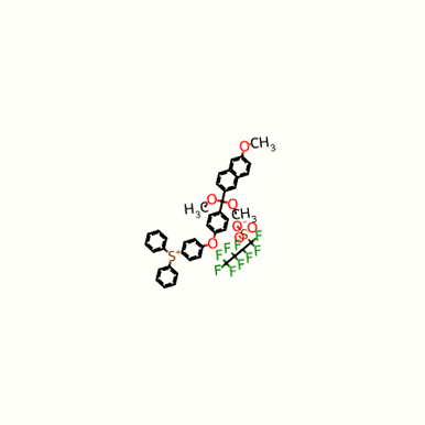 COc1ccc2cc(C(OC)(OC)c3ccc(Oc4ccc([S+](c5ccccc5)c5ccccc5)cc4)cc3)ccc2c1.O=S(=O)([O-])C(F)(F)C(F)(F)C(F)(F)C(F)(F)F